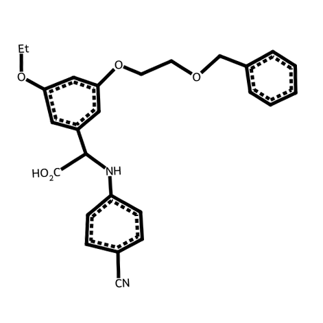 CCOc1cc(OCCOCc2ccccc2)cc(C(Nc2ccc(C#N)cc2)C(=O)O)c1